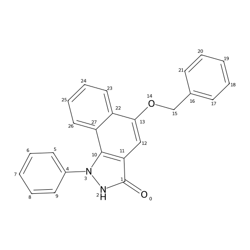 O=c1[nH]n(-c2ccccc2)c2c1cc(OCc1ccccc1)c1ccccc12